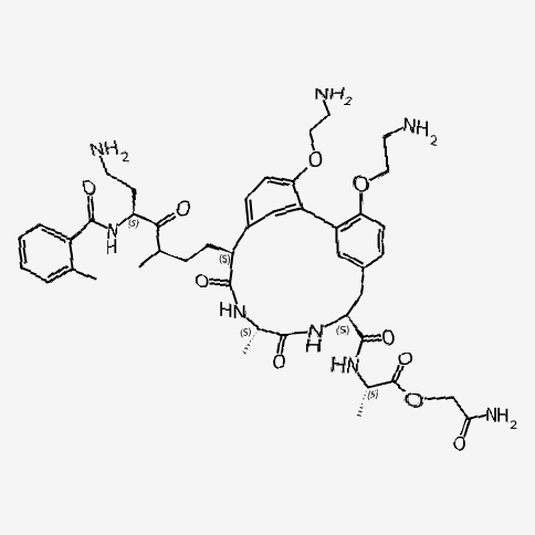 Cc1ccccc1C(=O)N[C@@H](CCN)C(=O)C(C)CC[C@@H]1C(=O)N[C@@H](C)C(=O)N[C@H](C(=O)N[C@@H](C)C(=O)OCC(N)=O)Cc2ccc(OCCN)c(c2)-c2cc1ccc2OCCN